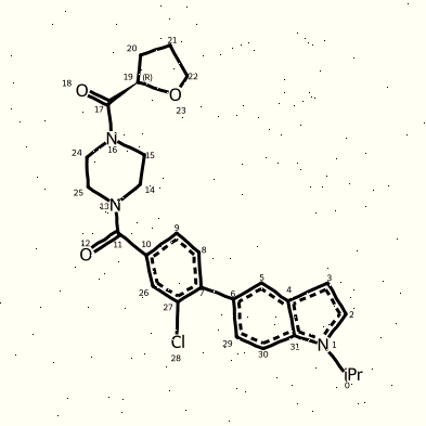 CC(C)n1ccc2cc(-c3ccc(C(=O)N4CCN(C(=O)[C@H]5CCCO5)CC4)cc3Cl)ccc21